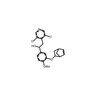 COc1ccc(C(O)Cc2c(Cl)cncc2Cl)cc1OC1CC2C=CC1C2